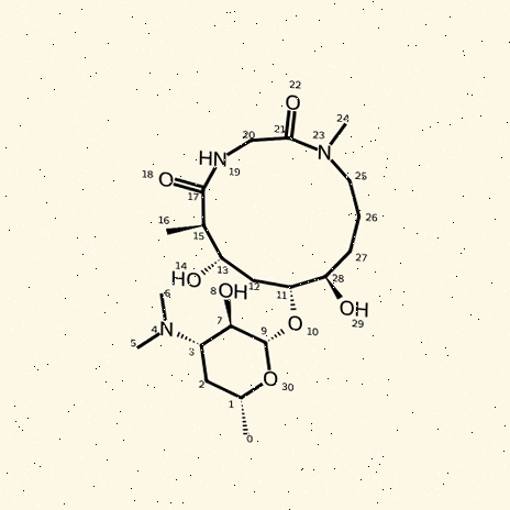 C[C@@H]1C[C@H](N(C)C)[C@@H](O)[C@H](O[C@@H]2C[C@H](O)[C@@H](C)C(=O)NCC(=O)N(C)CCC[C@H]2O)O1